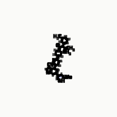 CN/C=C(\C=N)c1cn2ncc(C#N)c2c(-c2ccc(N3CCN(C(=O)C(c4cccc(C)c4)N(C)C)CC3)nc2)n1